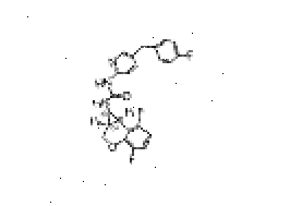 O=C(Nc1ccc(Cc2ccc(F)cc2)cn1)N[C@@H]1[C@H]2COc3c(F)ccc(F)c3[C@@H]21